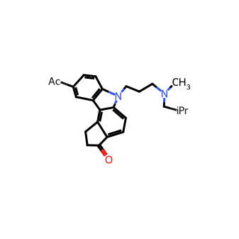 CC(=O)c1ccc2c(c1)c1c3c(ccc1n2CCCN(C)CC(C)C)C(=O)CC3